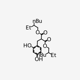 CCCCC(CC)COC(=O)C(Cc1ccc(O)cc1O)C(=O)OCC(CC)CCCC